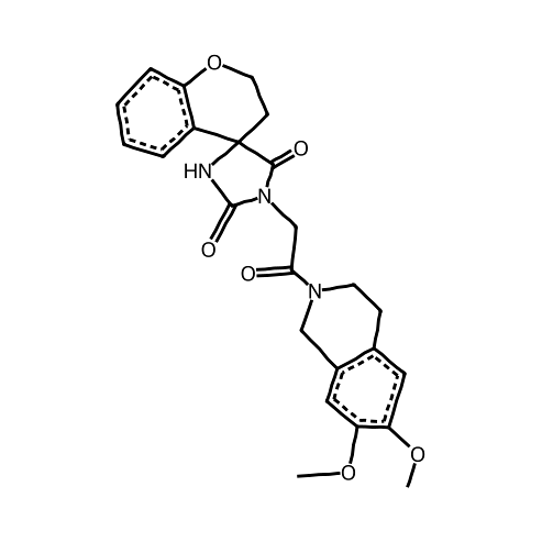 COc1cc2c(cc1OC)CN(C(=O)CN1C(=O)NC3(CCOc4ccccc43)C1=O)CC2